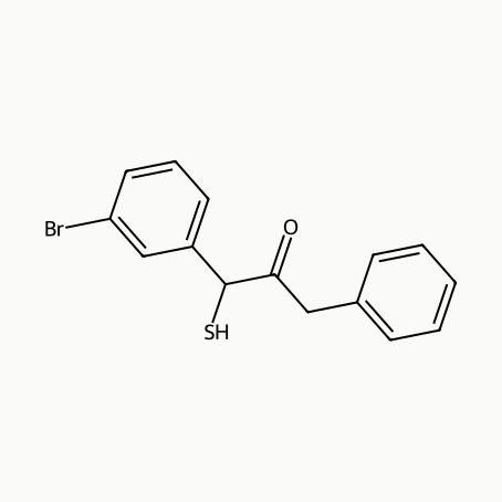 O=C(Cc1ccccc1)C(S)c1cccc(Br)c1